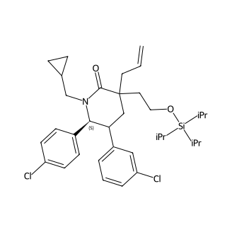 C=CCC1(CCO[Si](C(C)C)(C(C)C)C(C)C)CC(c2cccc(Cl)c2)[C@@H](c2ccc(Cl)cc2)N(CC2CC2)C1=O